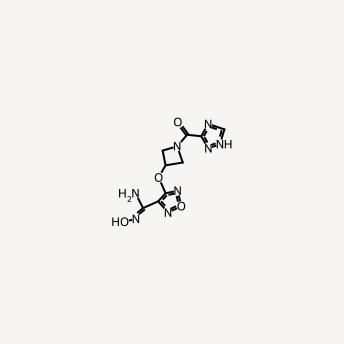 N/C(=N\O)c1nonc1OC1CN(C(=O)c2nc[nH]n2)C1